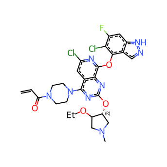 C=CC(=O)N1CCN(c2nc(O[C@@H]3CN(C)CC3OCC)nc3c(Oc4c(Cl)c(F)cc5[nH]ncc45)nc(Cl)cc23)CC1